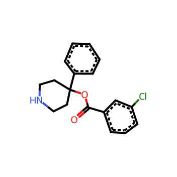 O=C(OC1(c2ccccc2)CCNCC1)c1cccc(Cl)c1